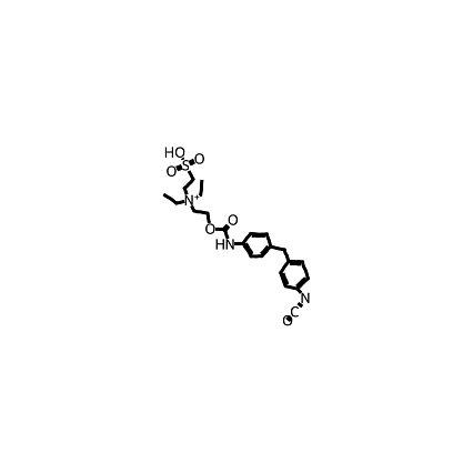 CC[N+](CC)(CCOC(=O)Nc1ccc(Cc2ccc(N=C=O)cc2)cc1)CCS(=O)(=O)O